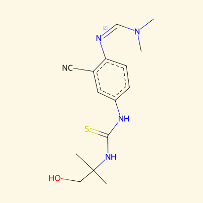 CN(C)/C=N\c1ccc(NC(=S)NC(C)(C)CO)cc1C#N